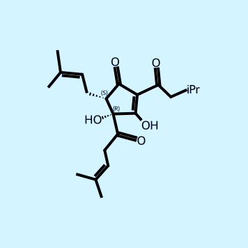 CC(C)=CCC(=O)[C@]1(O)C(O)=C(C(=O)CC(C)C)C(=O)[C@H]1CC=C(C)C